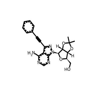 CC1(C)O[C@@H]2[C@H](O1)[C@@H](CO)O[C@H]2n1nc(C#Cc2ccccc2)c2c(N)ncnc21